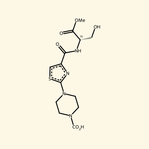 COC(=O)[C@H](CO)NC(=O)c1csc(N2CCN(C(=O)O)CC2)n1